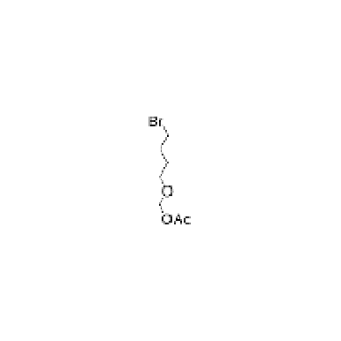 CC(=O)OCOCCCCBr